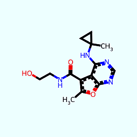 Cc1oc2ncnc(NC3(C)CC3)c2c1C(=O)NCCO